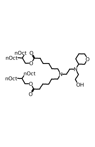 CCCCCCCCC(CCCCCCCC)COC(=O)CCCCCN(CCCCCC(=O)OCC(CCCCCCCC)CCCCCCCC)CCN(CCO)C1CCCOC1